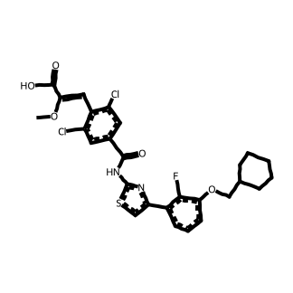 CO/C(=C\c1c(Cl)cc(C(=O)Nc2nc(-c3cccc(OCC4CCCCC4)c3F)cs2)cc1Cl)C(=O)O